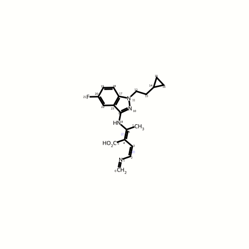 C=N/C=C\C(C(=O)O)=C(/C)Nc1nn(CCC2CC2)c2ccc(F)cc12